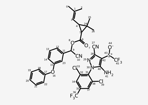 CC(C)=CC1C(C(=O)OC(C#N)c2cccc(Oc3ccccc3)c2)C1(C)C.N#Cc1nn(-c2c(Cl)cc(C(F)(F)F)cc2Cl)c(N)c1[S+]([O-])C(F)(F)F